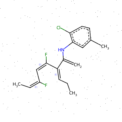 C=C(Nc1cc(C)ccc1Cl)C(=C\CC)/C(F)=C\C(F)=C/C